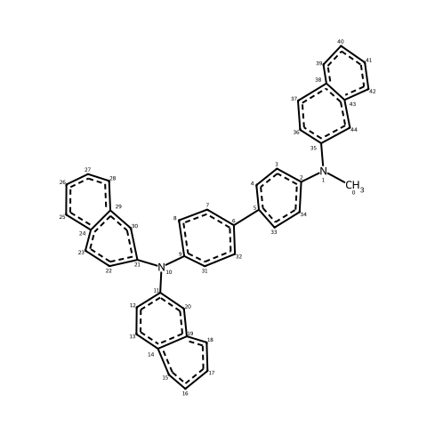 CN(c1ccc(-c2ccc(N(c3ccc4ccccc4c3)c3ccc4ccccc4c3)cc2)cc1)c1ccc2ccccc2c1